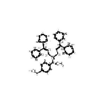 C[C@H](c1ccc(CO)cc1)N(CC=C(c1ccccc1)c1ccccc1)CC=C(c1ccccc1)c1ccccc1